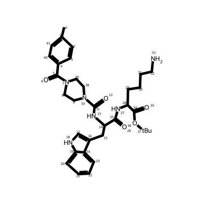 Cc1ccc(C(=O)N2CCN(C(=O)NC(Cc3c[nH]c4ccccc34)C(=O)NC(CCCCN)C(=O)OC(C)(C)C)CC2)cc1